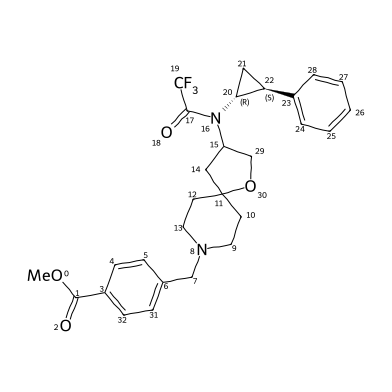 COC(=O)c1ccc(CN2CCC3(CC2)CC(N(C(=O)C(F)(F)F)[C@@H]2C[C@H]2c2ccccc2)CO3)cc1